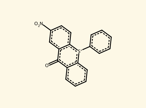 O=c1c2ccccc2[s+](-c2ccccc2)c2ccc([N+](=O)[O-])cc12